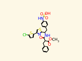 COC(=O)C(Cc1ccccc1)C(=O)NC(Cc1ccc(NS(=O)(=O)O)cc1)c1nc(-c2ccc(Cl)s2)cs1